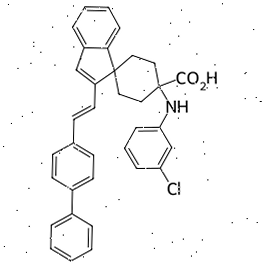 O=C(O)C1(Nc2cccc(Cl)c2)CCC2(CC1)C(/C=C/c1ccc(-c3ccccc3)cc1)=Cc1ccccc12